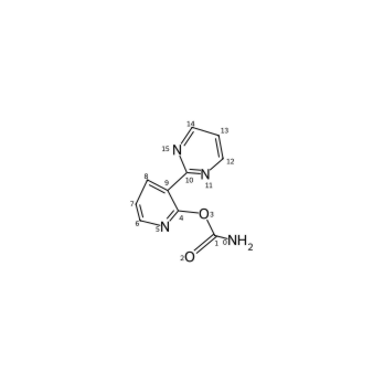 NC(=O)Oc1ncccc1-c1ncccn1